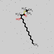 C=C(C(=O)SC(C)(C)C)C(O)CCCCCCCCCCCCC